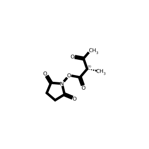 CC(=O)[C@H](C)C(=O)ON1C(=O)CCC1=O